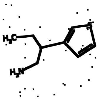 CCC(CN)c1ccsc1